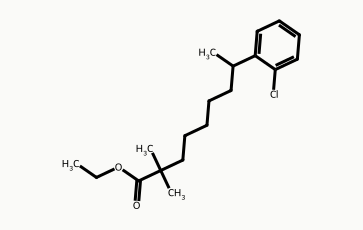 CCOC(=O)C(C)(C)CCCCCC(C)c1ccccc1Cl